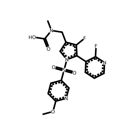 COc1ccc(S(=O)(=O)n2cc(CN(C)C(=O)O)c(F)c2-c2cccnc2F)cn1